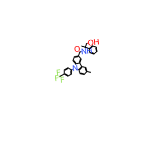 Cc1ccc2c(c1)c1cc(C(=O)NC(C)(CO)c3ccccc3)ccc1n2-c1ccc(C(F)(F)F)cc1